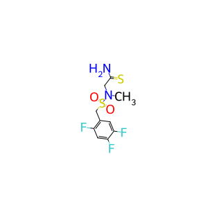 CN(CC(N)=S)S(=O)(=O)Cc1cc(F)c(F)cc1F